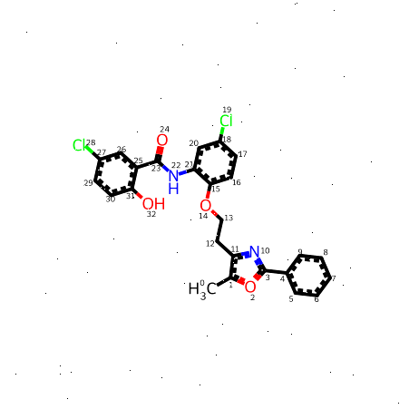 Cc1oc(-c2ccccc2)nc1CCOc1ccc(Cl)cc1NC(=O)c1cc(Cl)ccc1O